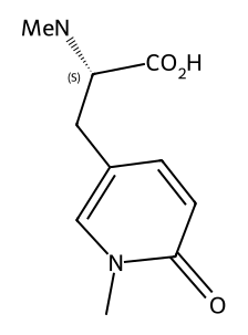 CN[C@@H](Cc1ccc(=O)n(C)c1)C(=O)O